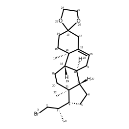 C[C@H](CBr)[C@H]1CC[C@H]2[C@@H]3CC=C4CC5(CC[C@]4(C)[C@H]3CC[C@]12C)OCCO5